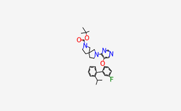 CC(C)c1ccccc1-c1cc(F)ccc1Oc1cncnc1N1CCC2(CCN(C(=O)OC(C)(C)C)C2)C1